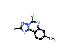 Cc1nc2c3ccc(C(F)(F)F)cc3nc(Cl)n2n1